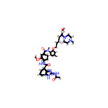 COc1cc(C(=O)N(C)c2ccc(C)cc2OCCCCC(=C=O)N2CCN(C)CC2)ccc1NC(=O)c1cccc2[nH]c(NC(C)=O)nc12